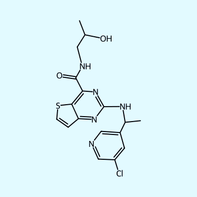 CC(O)CNC(=O)c1nc(NC(C)c2cncc(Cl)c2)nc2ccsc12